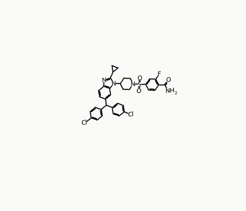 NC(=O)c1ccc(S(=O)(=O)N2CCC(n3c(C4CC4)nc4ccc(C(c5ccc(Cl)cc5)c5ccc(Cl)cc5)cc43)CC2)cc1F